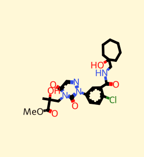 COC(=O)C(C)(O)Cn1c(=O)cnn(-c2ccc(Cl)c(C(=O)NCC3(O)CCCCCC3)c2)c1=O